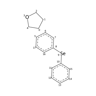 C1CCOC1.c1ccc([Se]c2ccccc2)cc1